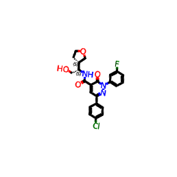 O=C(N[C@H](CO)[C@@H]1CCOC1)c1cc(-c2ccc(Cl)cc2)nn(-c2cccc(F)c2)c1=O